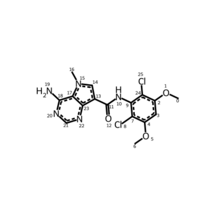 COc1cc(OC)c(Cl)c(NC(=O)c2cn(C)c3c(N)ncnc23)c1Cl